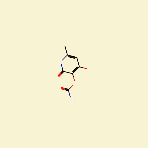 Cc1cc(O)c(OC(N)=O)c(=O)[nH]1